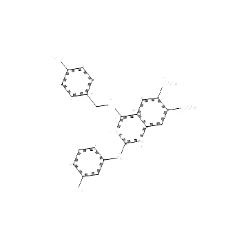 COc1cc2nc(Nc3cccc(C)c3)nc(OCc3ccc(C#N)cc3)c2cc1OC